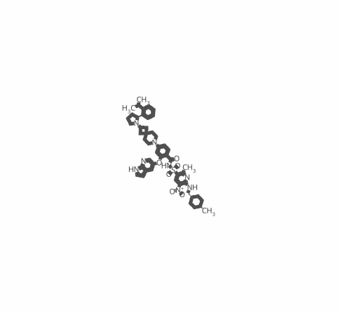 Cc1nc(NC[C@H]2CC[C@@H](C)CC2)c([N+](=O)[O-])cc1S(=O)(=O)NC(=O)c1ccc(N2CCC3(CC2)CC(N2CCC[C@H]2c2ccccc2C(C)C)C3)cc1Oc1cnc2[nH]ccc2c1